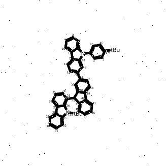 CC(C)(C)c1ccc(-n2c3ccccc3c3ccc(-c4ccc5c(c4)C(c4cccc6c7ccccc7n(C(C)(C)C)c46)c4ccccc4-5)cc32)cc1